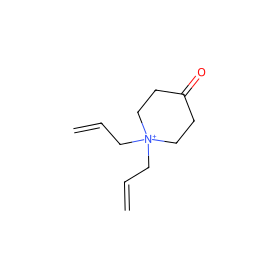 C=CC[N+]1(CC=C)CCC(=O)CC1